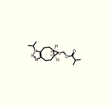 CC(C)C(=O)OC[C@@H]1[C@@H]2CCc3c(nnn3C(C)C)CC[C@@H]21